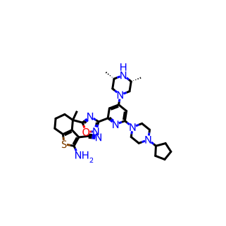 C[C@@H]1CN(c2cc(-c3noc(C4(C)CCCc5sc(N)c(C#N)c54)n3)nc(N3CCN(C4CCCC4)CC3)c2)C[C@H](C)N1